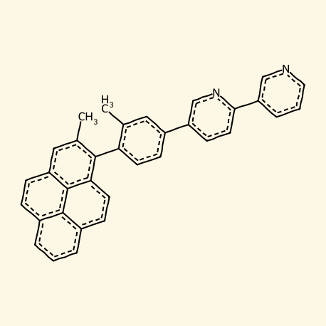 Cc1cc(-c2ccc(-c3cccnc3)nc2)ccc1-c1c(C)cc2ccc3cccc4ccc1c2c34